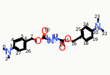 CN(C)c1ccc(COC(=O)/N=N/C(=O)OCc2ccc(N(C)C)cc2)cc1